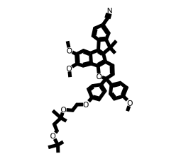 COc1ccc(C2(c3ccc(OCCOC(C)(C)CCOC(C)(C)C)cc3)C=Cc3c4c(c5cc(OC)c(OC)cc5c3O2)-c2ccc(C#N)cc2C4(C)C)cc1